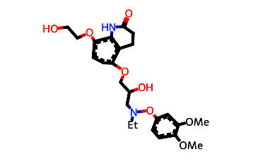 CCN(CC(O)COc1ccc(OCCO)c2c1CCC(=O)N2)Oc1ccc(OC)c(OC)c1